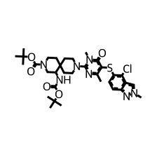 Cc1nc(N2CCC3(CCN(C(=O)OC(C)(C)C)CC3NC(=O)OC(C)(C)C)CC2)n(C)c(=O)c1Sc1ccc2nn(C)cc2c1Cl